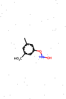 Cc1cc(ONO)cc(C(=O)O)c1